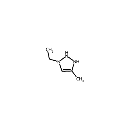 CCN1C=C(C)NN1